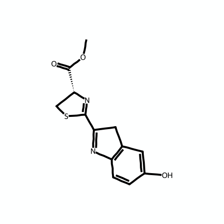 COC(=O)[C@H]1CSC(C2=Nc3ccc(O)cc3C2)=N1